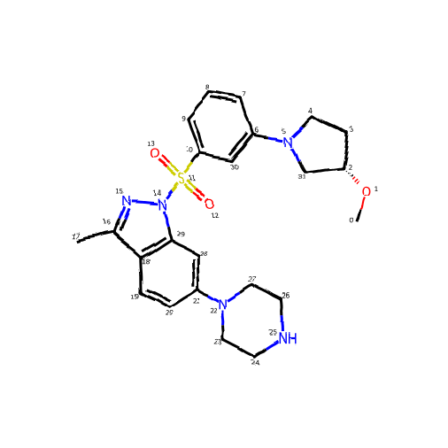 CO[C@H]1CCN(c2cccc(S(=O)(=O)n3nc(C)c4ccc(N5CCNCC5)cc43)c2)C1